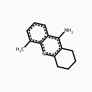 Cc1cccc2c(N)c3c(nc12)CCCC3